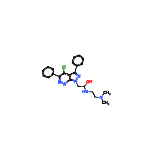 CN(C)CCNC(O)Cn1nc(-c2ccccc2)c2c(Cl)c(-c3ccccc3)nnc21